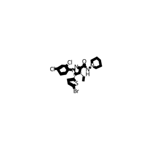 CC[C@H]1C(C(=O)NN2CCCCC2)=NN(c2ccc(Cl)cc2Cl)[C@H]1c1ccc(Br)s1